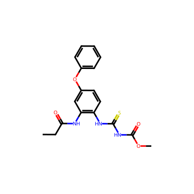 CCC(=O)Nc1cc(Oc2ccccc2)ccc1NC(=S)NC(=O)OC